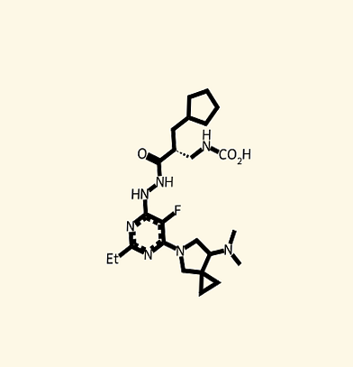 CCc1nc(NNC(=O)[C@@H](CNC(=O)O)CC2CCCC2)c(F)c(N2CC(N(C)C)C3(CC3)C2)n1